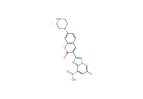 Cc1cc([N+](=O)O)c2nc(-c3cc4ccc(N5CCN[C@@H](C)C5)cc4oc3=O)cn2c1